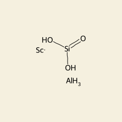 O=[Si](O)O.[AlH3].[Sc]